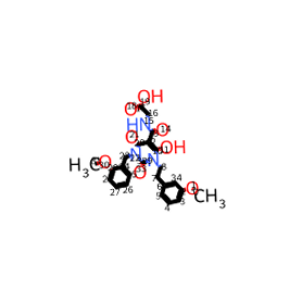 COc1cccc(CCn2c(O)c(C(=O)NCC(=O)O)c(=O)n(Cc3ccccc3OC)c2=O)c1